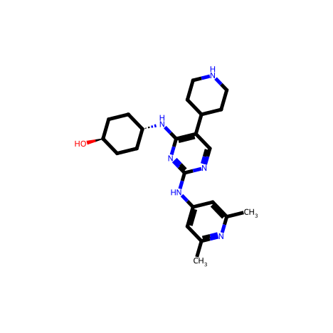 Cc1cc(Nc2ncc(C3CCNCC3)c(N[C@H]3CC[C@H](O)CC3)n2)cc(C)n1